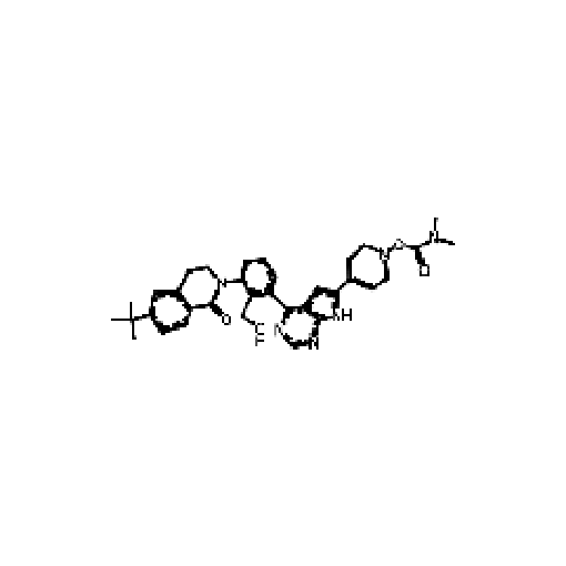 CN(C)C(=O)ON1CC=C(c2cc3c(-c4cccc(N5CCc6cc(C(C)(C)C)ccc6C5=O)c4CO)ncnc3[nH]2)CC1